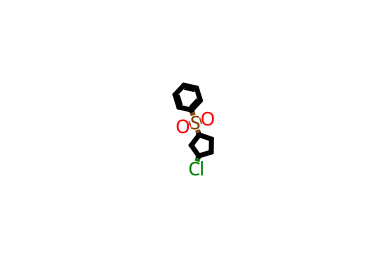 O=S(=O)(c1ccccc1)C1CCC(Cl)C1